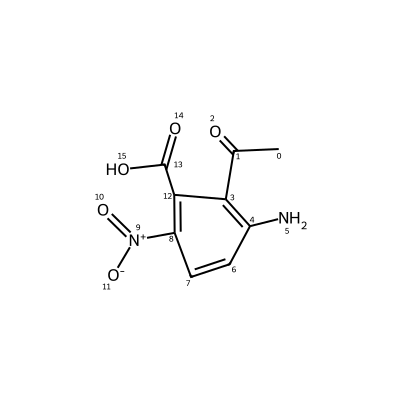 CC(=O)c1c(N)ccc([N+](=O)[O-])c1C(=O)O